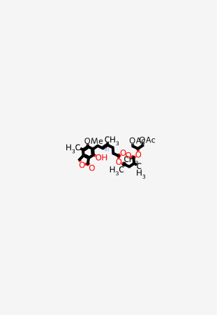 COc1c(C)c2c(c(O)c1C/C=C(\C)CCC(=O)OC(C)(C)CC(C)C(=O)OC(COC(C)=O)COC(C)=O)C(=O)OC2